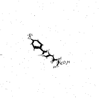 CCOc1ccc(-c2nc(CC(=O)N[C@H](C(=O)O)C(C)C)cs2)cc1